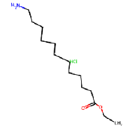 CCOC(=O)CCCCCCCCCCCN.Cl